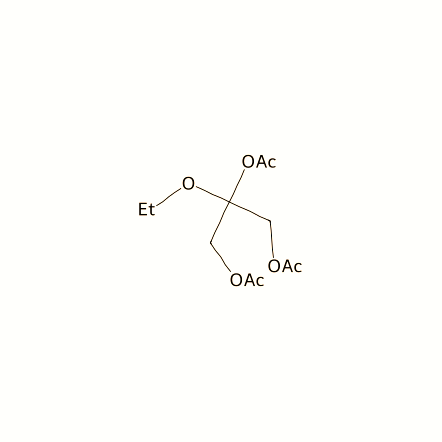 CCOC(COC(C)=O)(COC(C)=O)OC(C)=O